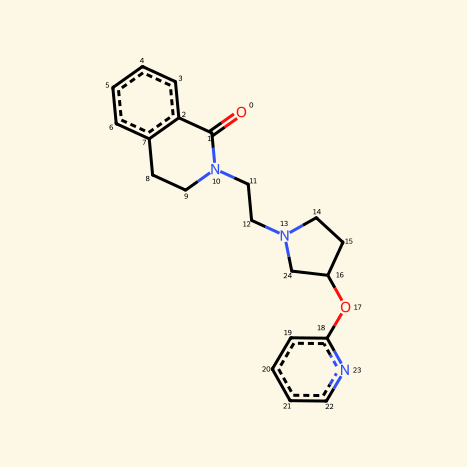 O=C1c2ccccc2CCN1CCN1CCC(Oc2ccccn2)C1